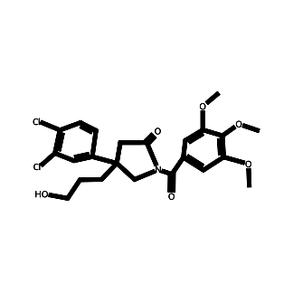 COc1cc(C(=O)N2CC(CCCO)(c3ccc(Cl)c(Cl)c3)CC2=O)cc(OC)c1OC